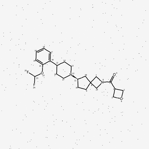 O=C(C1COC1)N1CC2(CC[C@@H](N3CCC(c4ccccc4OC(F)F)CC3)C2)C1